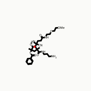 CCCOC(=O)C(C)(CC(C)(CC(C)(C#N)CCC(=O)NCCOCCOC)C(=O)NCCCN)SC(=S)c1ccccc1